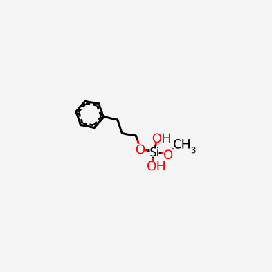 CO[Si](O)(O)OCCCc1ccccc1